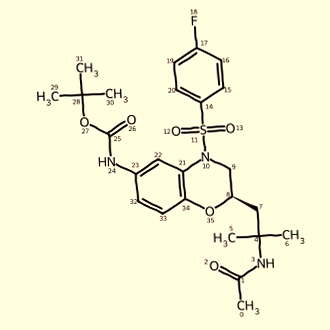 CC(=O)NC(C)(C)C[C@@H]1CN(S(=O)(=O)c2ccc(F)cc2)c2cc(NC(=O)OC(C)(C)C)ccc2O1